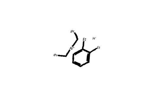 CC(C)[CH2][Al+][CH2]C(C)C.CCc1ccccc1CC.[H-]